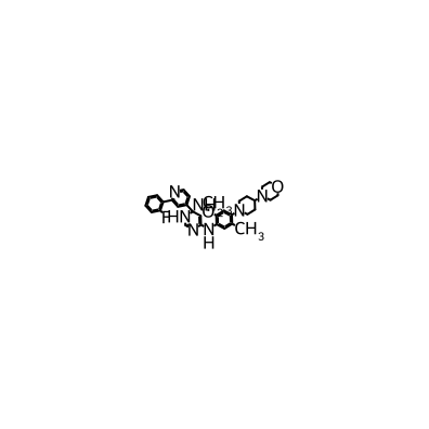 COc1cc(N2CCC(N3CCOCC3)CC2)c(C)cc1NC1=CC(N)(c2ccnc(-c3ccccc3F)c2)NC=N1